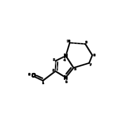 O=Cc1cn2c(n1)CCCC2